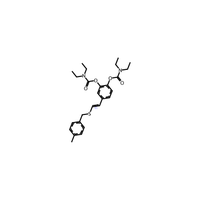 CCN(CC)C(=O)Oc1ccc(/C=C/SCc2ccc(C)cc2)cc1OC(=O)N(CC)CC